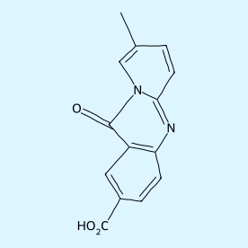 Cc1ccc2nc3ccc(C(=O)O)cc3c(=O)n2c1